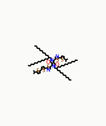 CCCCCCCCCCCCC(CCCCCCCCCC)CN1C(=O)C2=C(c3cnc(-c4ccc(C(C)C)s4)s3)N(CC(CCCCCCCCCC)CCCCCCCCCCCC)C(=O)C2=C1c1cnc(-c2ccc(-c3ccc(C(C)C)s3)s2)s1